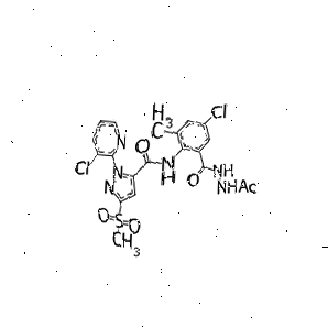 CC(=O)NNC(=O)c1cc(Cl)cc(C)c1NC(=O)c1cc(S(C)(=O)=O)nn1-c1ncccc1Cl